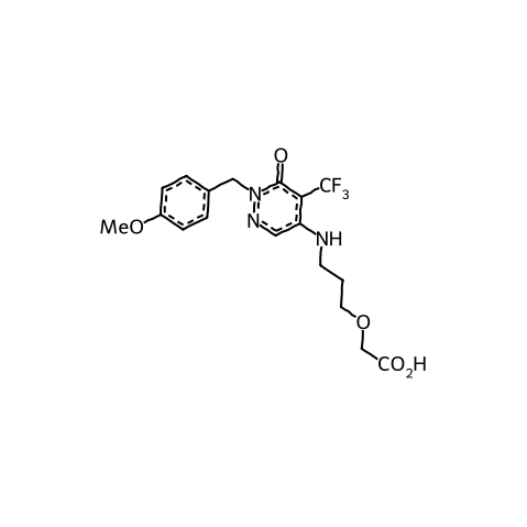 COc1ccc(Cn2ncc(NCCCOCC(=O)O)c(C(F)(F)F)c2=O)cc1